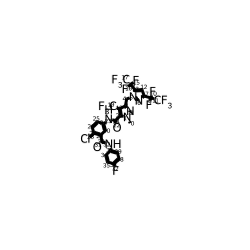 Cn1nc(Cn2nc(C(F)(F)C(F)(F)F)cc2C(F)(F)C(F)(F)F)c(C(F)(F)F)c1C(=O)Nc1ccc(Cl)c(C(=O)Nc2ccc(F)cc2)c1